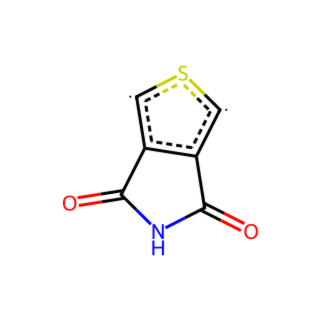 O=C1NC(=O)c2[c]s[c]c21